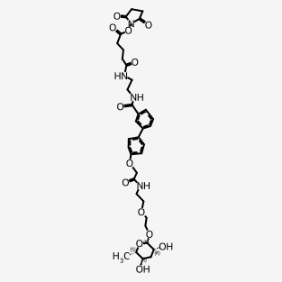 C[C@@H]1O[C@@H](OCCOCCNC(=O)COc2ccc(-c3cccc(C(=O)NCCNC(=O)CCCC(=O)ON4C(=O)CCC4=O)c3)cc2)[C@H](O)C[C@H]1O